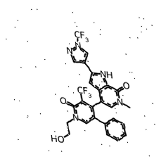 Cn1cc(-c2c(-c3ccccc3)cn(CCO)c(=O)c2C(F)(F)F)c2cc(-c3cnn(C(F)(F)F)c3)[nH]c2c1=O